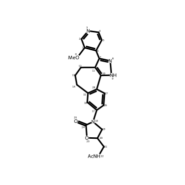 COc1cnccc1-c1n[nH]c2c1CCCc1cc(N3CC(CNC(C)=O)OC3=O)ccc1-2